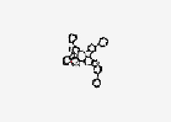 c1ccc(-c2ccc3sc4c(cc(-c5ccccn5)c5c4c4cc(-c6ccccc6)ccc4n5-c4cc(-c5ccccc5)nc(-c5ccccc5)n4)c3c2)cc1